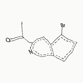 CC(=O)c1cc2c(Br)cccc2cn1